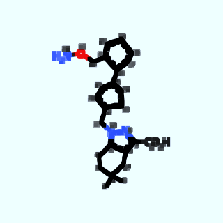 CC1(C)CCc2c(c(C(=O)O)nn2Cc2ccc(-c3ccccc3CON)cc2)C1